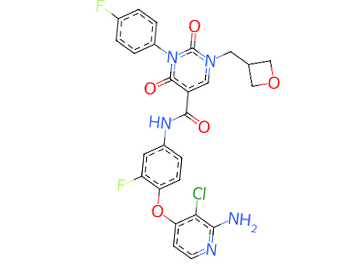 Nc1nccc(Oc2ccc(NC(=O)c3cn(CC4COC4)c(=O)n(-c4ccc(F)cc4)c3=O)cc2F)c1Cl